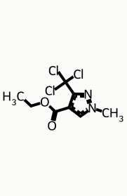 CCOC(=O)c1cn(C)nc1C(Cl)(Cl)Cl